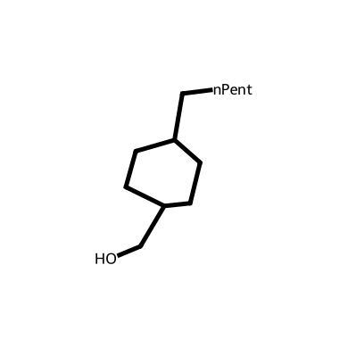 CCCCCCC1CCC(CO)CC1